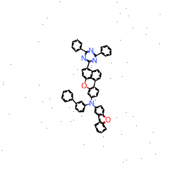 c1ccc(-c2cccc(N(c3ccc4c(c3)Oc3ccc(-c5nc(-c6ccccc6)nc(-c6ccccc6)n5)c5cccc-4c35)c3ccc4oc5ccccc5c4c3)c2)cc1